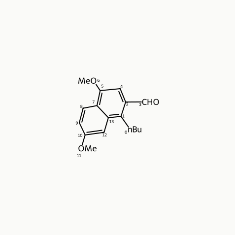 CCCCc1c(C=O)cc(OC)c2ccc(OC)cc12